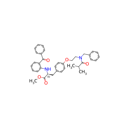 COC(=O)[C@H](Cc1ccc(OCCN(Cc2ccccc2)C(=O)C(C)C)cc1)Nc1ccccc1C(=O)c1ccccc1